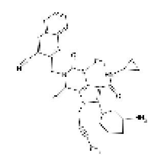 CC#CCn1c(N2CCC[C@@H](N)C2)c(C(=O)NC2CC2)c2c1c(=O)n(Cc1nc3ccccc3cc1C#N)c(=O)n2C